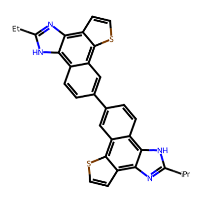 CCc1nc2c3ccsc3c3cc(-c4ccc5c(c4)c4sccc4c4nc(C(C)C)[nH]c54)ccc3c2[nH]1